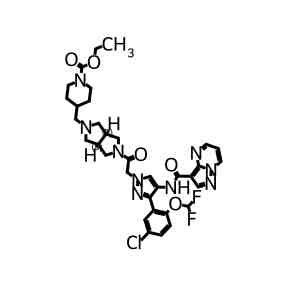 CCOC(=O)N1CCC(CN2C[C@@H]3CN(C(=O)Cn4cc(NC(=O)c5cnn6cccnc56)c(-c5cc(Cl)ccc5OC(F)F)n4)C[C@@H]3C2)CC1